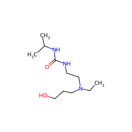 CCN(CCCO)CCNC(=O)NC(C)C